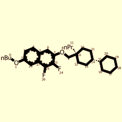 CCCCOc1ccc2cc(OC[C@]3(CCC)CC[C@@H](C4CCCCC4)CC3)c(F)c(F)c2c1